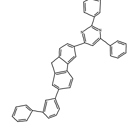 c1ccc(-c2cccc(-c3ccc4c(c3)Cc3ccc(-c5cc(-c6ccccc6)nc(-c6ccccc6)n5)cc3-4)c2)cc1